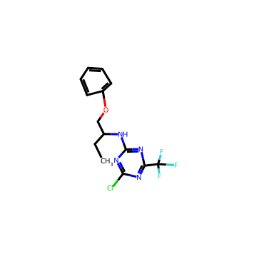 CCC(COc1ccccc1)Nc1nc(Cl)nc(C(F)(F)F)n1